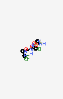 O=C(CCNC(=O)c1ccc(Cl)cc1NS(=O)(=O)C1=CC=CN2SNC=C12)Nc1ccccc1-c1ccc(Cl)c(Cl)c1